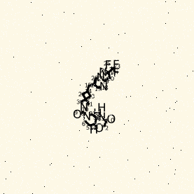 O=C1CO[C@H]2CCN(C(=O)N3CC4(CC(Cc5cnc6cc(C(F)(F)F)nn6c5)C4)C3)C[C@H]2N1